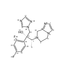 C[C@@H](N1CCn2ccnc2C1)[C@](O)(Cn1cncn1)c1ccc(F)cc1F